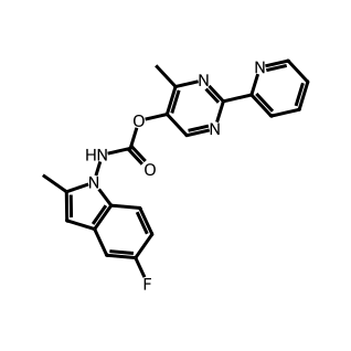 Cc1nc(-c2ccccn2)ncc1OC(=O)Nn1c(C)cc2cc(F)ccc21